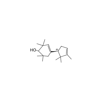 CC1=CC[C@H](C2=CC(C)(C)C(O)C(C)(C)C2)C1(C)C